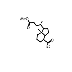 CCC(=O)C1CCC[C@@]2(C)C1CCC2[C@H](C)CCC(=O)OC